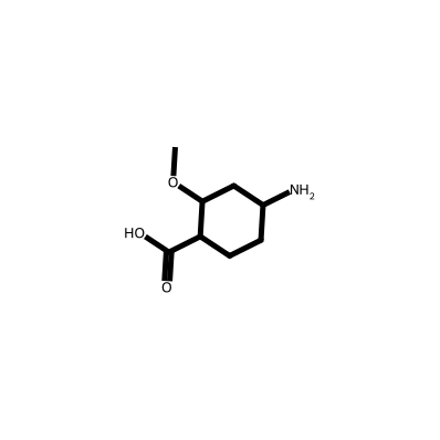 COC1CC(N)CCC1C(=O)O